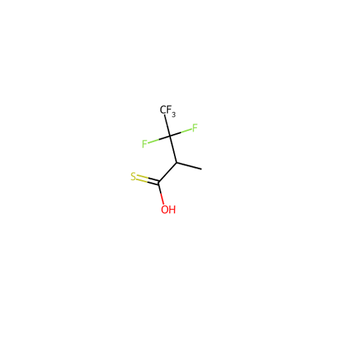 CC(C(O)=S)C(F)(F)C(F)(F)F